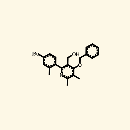 Cc1cc(C(C)(C)C)ccc1-c1nc(C)c(C)c(OCc2ccccc2)c1CO